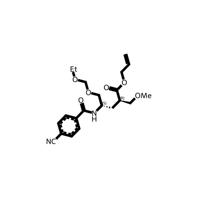 C=CCOC(=O)[C@@H](COC)C[C@@H](COCOCC)NC(=O)c1ccc(C#N)cc1